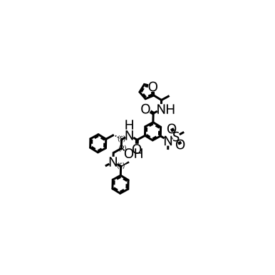 CC(NC(=O)c1cc(C(=O)N[C@@H](Cc2ccccc2)[C@H](O)CN(C)[C@@H](C)c2ccccc2)cc(N(C)S(C)(=O)=O)c1)c1ccco1